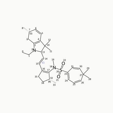 CCN1C2=C(C=C[C@@H](C)C2)C(C)(C)C1/C=C/C1=C(N(C)S(=O)(=O)C2=CC=CC(C)(C)C=C2)[C@H](C)CC1